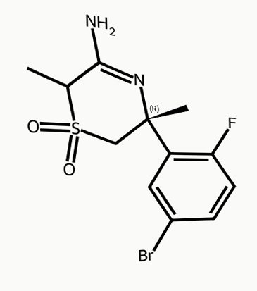 CC1C(N)=N[C@](C)(c2cc(Br)ccc2F)CS1(=O)=O